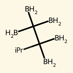 BC(B)(B)C(B)(B)C(C)C